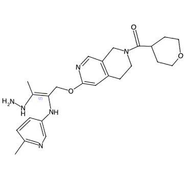 C/C(NN)=C(\COc1cc2c(cn1)CN(C(=O)C1CCOCC1)CC2)Nc1ccc(C)nc1